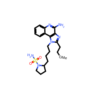 COCCc1nc2c(N)nc3ccccc3c2n1CCCCC1CCCN1S(N)(=O)=O